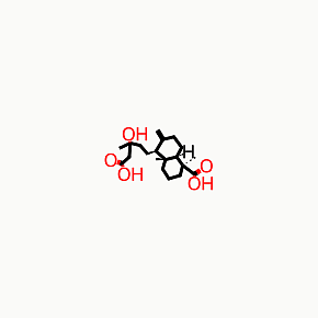 C=C1CC[C@@H]2[C@](C)(CCC[C@]2(C)C(=O)O)[C@H]1CCC(C)(O)CC(=O)O